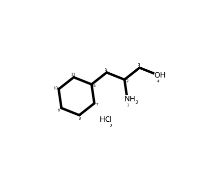 Cl.NC(CO)CC1CCCCC1